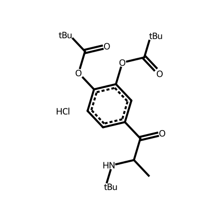 CC(NC(C)(C)C)C(=O)c1ccc(OC(=O)C(C)(C)C)c(OC(=O)C(C)(C)C)c1.Cl